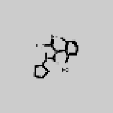 Cc1cccc(C)c1N(C(=N)N)C(=O)NC1CCCC1.Cl